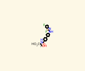 C[C@@H](O)[C@H](NC(=O)c1ccc(-c2ccc(Nc3nc4ccc(F)cc4s3)c(F)c2)cc1)C(=O)O